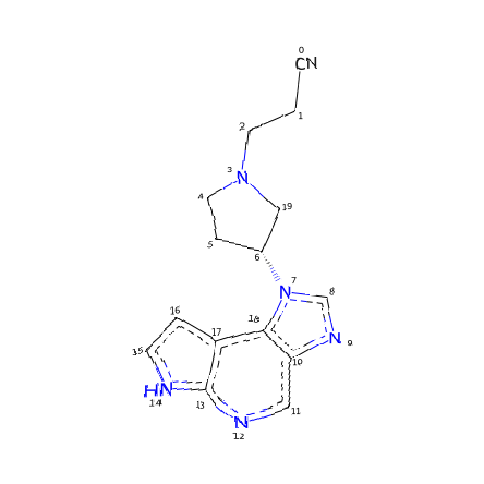 N#CCCN1CC[C@@H](n2cnc3cnc4[nH]ccc4c32)C1